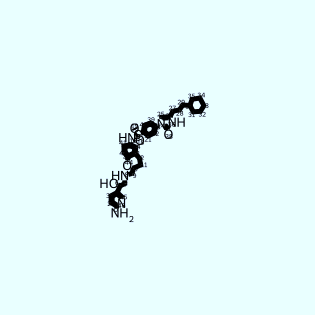 Nc1ccc(C(O)CNCC2CCc3cc(NS(=O)(=O)c4ccc(-n5cc(CCCC6CCCCC6)[nH]c5=O)cc4)ccc3O2)cn1